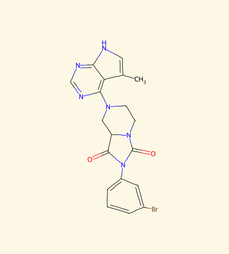 Cc1c[nH]c2ncnc(N3CCN4C(=O)N(c5cccc(Br)c5)C(=O)C4C3)c12